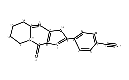 N#Cc1ccc(-c2nc3c(=O)n4c(nc3s2)CCCC4)cc1